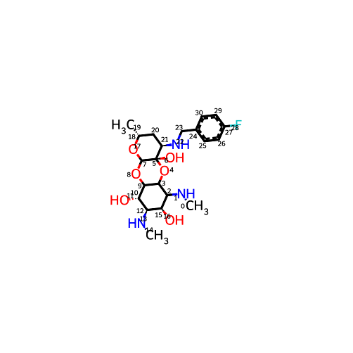 CNC1C2O[C@]3(O)C(OC2[C@@H](O)[C@H](NC)[C@@H]1O)O[C@H](C)C[C@H]3NCc1ccc(F)cc1